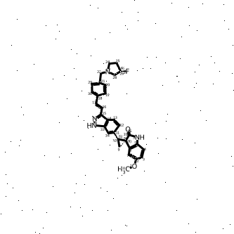 COc1ccc2c(c1)[C@]1(C[C@H]1c1ccc3c(C=Cc4ccc(CN5CC[C@@H](F)C5)cc4)n[nH]c3c1)C(=O)N2